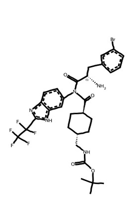 CC(C)(C)OC(=O)NC[C@H]1CC[C@H](C(=O)N(C(=O)[C@@H](N)Cc2cccc(Br)c2)c2ccc3nc(C(F)(F)C(F)(F)F)[nH]c3c2)CC1